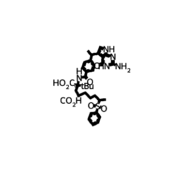 CC(c1ccc(C(=O)N[C@@](CC(CCCC(C)S(=O)(=O)c2ccccc2)C(=O)O)(C(=O)O)C(C)(C)C)cc1)c1c[nH]c2nc(N)[nH]c(=O)c12